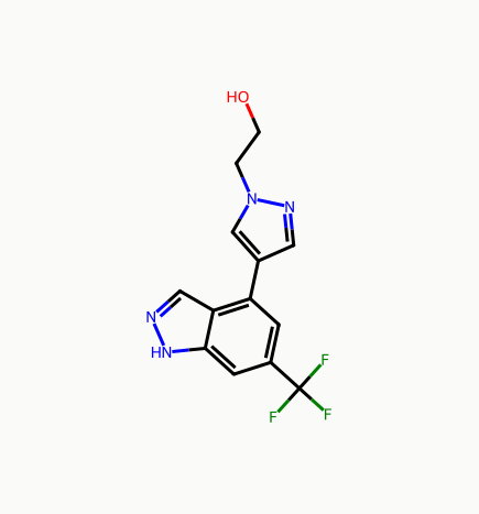 OCCn1cc(-c2cc(C(F)(F)F)cc3[nH]ncc23)cn1